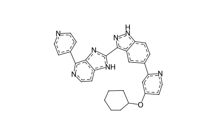 c1cc(-c2nccc3[nH]c(-c4n[nH]c5ccc(-c6cc(OC7CCCCC7)ccn6)cc45)nc23)ccn1